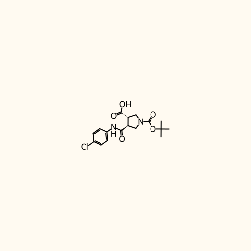 CC(C)(C)OC(=O)N1C[C@@H](C(=O)O)[C@H](C(=O)Nc2ccc(Cl)cc2)C1